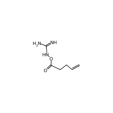 C=CCCC(=O)ONC(=N)N